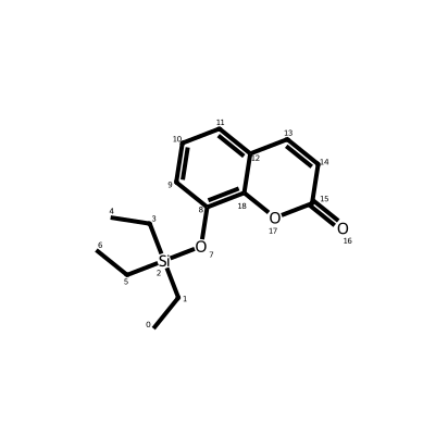 CC[Si](CC)(CC)Oc1cccc2ccc(=O)oc12